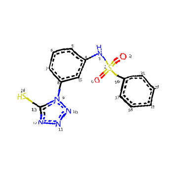 O=S(=O)(Nc1cccc(-n2nnnc2S)c1)c1ccccc1